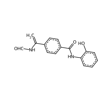 C=C(NC=O)c1ccc(C(=O)Nc2ccccc2O)cc1